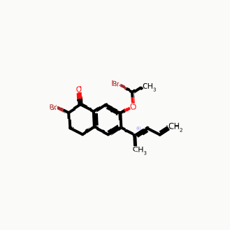 C=C/C=C(\C)c1cc2c(cc1OC(C)Br)C(=O)C(Br)CC2